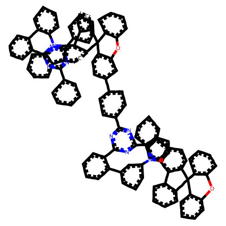 c1ccc(-c2nc(-c3ccc(-c4ccc5c(c4)Oc4ccccc4C54c5ccccc5-c5c4ccc4c6ccccc6n(-c6ccccc6-c6ccccc6-c6nc(-c7ccccc7)nc(-c7ccccc7)n6)c54)cc3)nc(-c3ccccc3-c3cccc(-n4c5ccccc5c5ccc6c(c54)-c4ccccc4C64c5ccccc5Oc5ccccc54)c3)n2)cc1